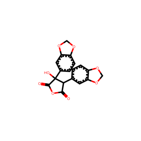 O=C1OC(=O)C(O)(c2ccc3c(c2)OCO3)C1c1ccc2c(c1)OCO2